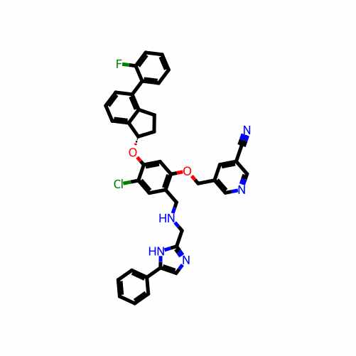 N#Cc1cncc(COc2cc(O[C@H]3CCc4c(-c5ccccc5F)cccc43)c(Cl)cc2CNCc2ncc(-c3ccccc3)[nH]2)c1